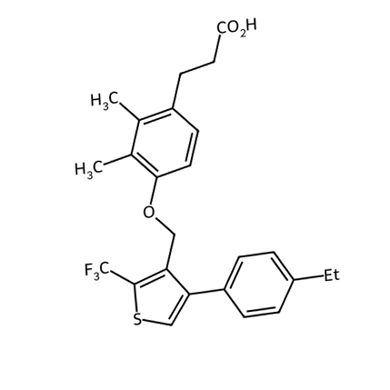 CCc1ccc(-c2csc(C(F)(F)F)c2COc2ccc(CCC(=O)O)c(C)c2C)cc1